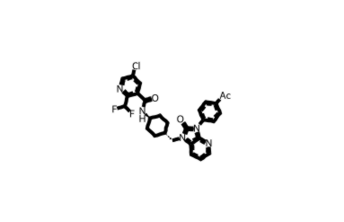 CC(=O)c1ccc(-n2c(=O)n(C[C@H]3CC[C@H](NC(=O)c4cc(Cl)cnc4C(F)F)CC3)c3cccnc32)cc1